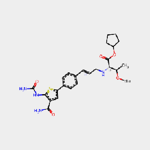 CC(OC(C)(C)C)[C@H](NC/C=C/c1ccc(-c2cc(C(N)=O)c(NC(N)=O)s2)cc1)C(=O)OC1CCCC1